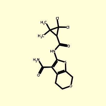 CC1(C)C(C(=O)Nc2sc3c(c2C(N)=O)CCOC3)C1(Cl)Cl